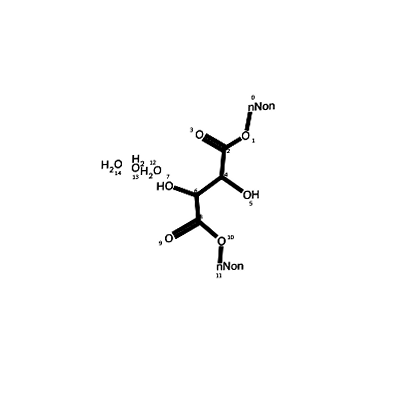 CCCCCCCCCOC(=O)C(O)C(O)C(=O)OCCCCCCCCC.O.O.O